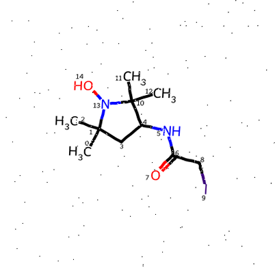 CC1(C)CC(NC(=O)CI)C(C)(C)N1O